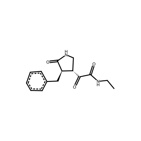 CCNC(=O)C(=O)[C@H]1CNC(=O)[C@@H]1Cc1ccccc1